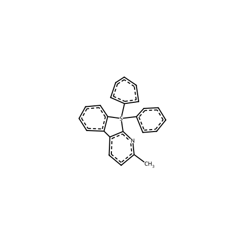 Cc1ccc2c(n1)S(c1ccccc1)(c1ccccc1)c1ccccc1-2